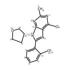 Cc1nc(Cl)c2nc(-c3ccccc3C(F)(F)F)n([C@@H]3CCOC3)c2n1